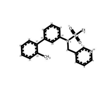 CCS(=O)(=O)N(Cc1cccnc1)c1cccc(-c2ccccc2C)c1